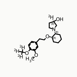 [2H]C([2H])([2H])Oc1ccc(CCO[C@@H]2CCCC[C@H]2N2CC[C@@]([2H])(O)C2)cc1OC